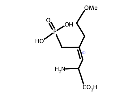 COCC/C(=C/C(N)C(=O)O)CP(=O)(O)O